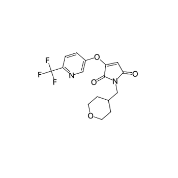 O=C1C=C(Oc2ccc(C(F)(F)F)nc2)C(=O)N1CC1CCOCC1